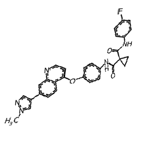 Cn1cc(-c2ccc3c(Oc4ccc(NC(=O)C5(C(=O)Nc6ccc(F)cc6)CC5)cc4)ccnc3c2)cn1